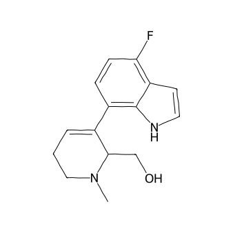 CN1CCC=C(c2ccc(F)c3cc[nH]c23)C1CO